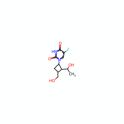 CC(O)C1C(CO)CC1n1cc(F)c(=O)[nH]c1=O